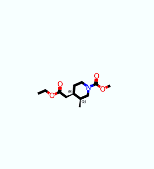 CCOC(=O)C[C@H]1CCN(C(=O)OC)C[C@H]1C